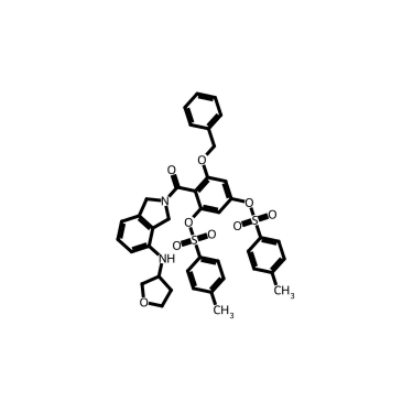 Cc1ccc(S(=O)(=O)Oc2cc(OCc3ccccc3)c(C(=O)N3Cc4cccc(NC5CCOC5)c4C3)c(OS(=O)(=O)c3ccc(C)cc3)c2)cc1